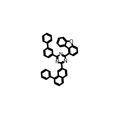 c1ccc(-c2cccc(-c3nc(-c4ccc5cccc(-c6ccccc6)c5c4)nc(-c4cccc5oc6ccccc6c45)n3)c2)cc1